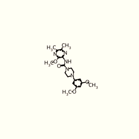 COc1cc(OC)cc(N2CCN(C(=O)Nc3nc(C)c(C)nc3OC)CC2)c1